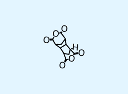 O=C1OC(=O)C2CC1C1C3C[C@@H](C(=O)OC3=O)C21